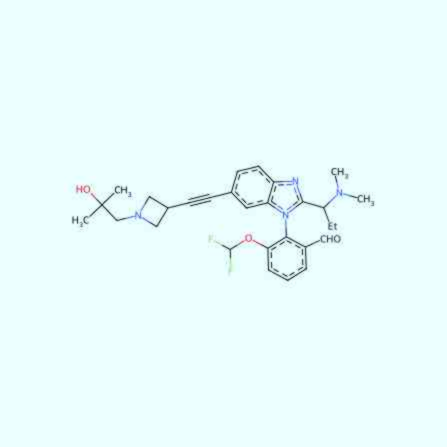 CCC(c1nc2ccc(C#CC3CN(CC(C)(C)O)C3)cc2n1-c1c(C=O)cccc1OC(F)F)N(C)C